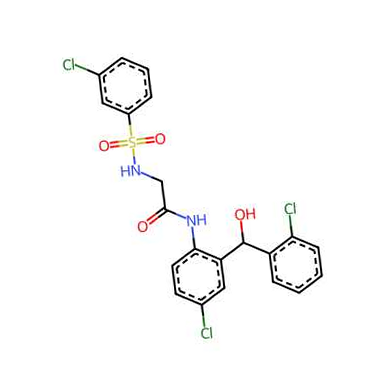 O=C(CNS(=O)(=O)c1cccc(Cl)c1)Nc1ccc(Cl)cc1C(O)c1ccccc1Cl